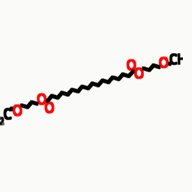 C=COCCCCOC(=O)CCCCCCCCCCCCCCCCC(=O)OCCCCOC=C